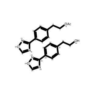 CC(=O)OCCc1ccc(-c2ncon2)cc1.OCCc1ccc(-c2ncon2)cc1